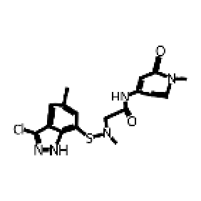 Cc1cc(SN(C)CC(=O)Nc2ccn(C)c(=O)c2)c2[nH]nc(Cl)c2c1